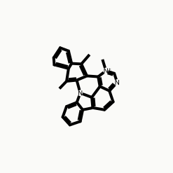 Cc1c2ccccc2c(C)c2c1c1c3c(ccc4c5ccccc5n2c43)nc[n+]1C